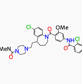 CNC(=O)N1CCN(CCC2CCCN(C(=O)c3ccc(NC(=O)c4ccccc4Cl)cc3OC)c3ccc(Cl)cc32)CC1